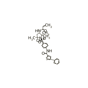 C=CC(=O)NC1CC(C)(C)N(S(=O)(=O)c2ccc(NC(=O)c3cc(-c4ccccc4)cs3)cc2)C1(C)C